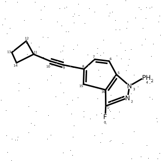 Fc1nn(P)c2ccc(C#CC3CCC3)cc12